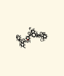 Cc1cnc(N2CC3(CCOCC3)C2)c(C(=O)Nc2ccc(C(=O)N3CCc4cc(C(=O)Nc5c(Cl)cccc5Cl)sc4-c4ccc(F)cc43)cc2)c1